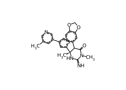 Cc1cncc(-c2csc([C@@]3(C)NC(=N)N(C)C(=O)C3c3ccc4c(c3)OCO4)c2)c1